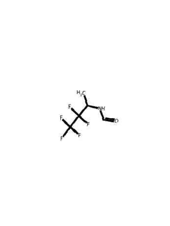 CC(NC=O)C(F)(F)C(F)(F)F